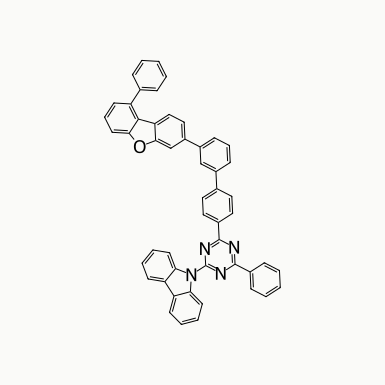 c1ccc(-c2nc(-c3ccc(-c4cccc(-c5ccc6c(c5)oc5cccc(-c7ccccc7)c56)c4)cc3)nc(-n3c4ccccc4c4ccccc43)n2)cc1